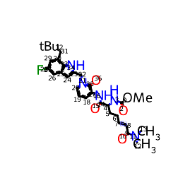 COC(=O)NC(CC/C=C/C(=O)N(C)C)C(=O)Nc1cccn(Cc2cc3cc(F)cc(CC(C)(C)C)c3[nH]2)c1=O